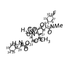 CNC(=O)c1c(-c2ccc(F)cc2)oc2cc3c(cc12)[C@H](C)O[C@H](COC(=O)[C@@H](N)Cc1ccccc1)CN3S(C)(=O)=O